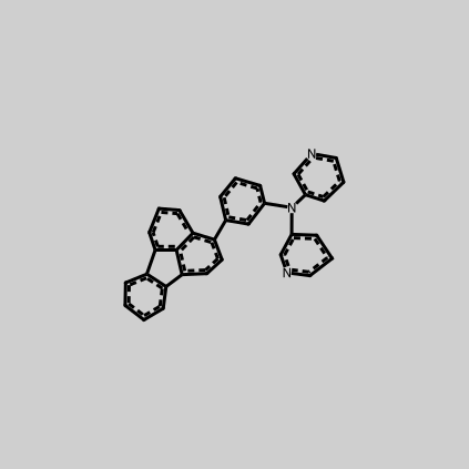 c1cncc(N(c2cccnc2)c2cccc(-c3ccc4c5c(cccc35)-c3ccccc3-4)c2)c1